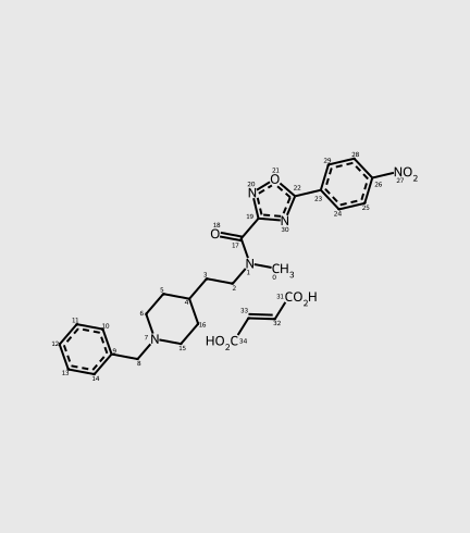 CN(CCC1CCN(Cc2ccccc2)CC1)C(=O)c1noc(-c2ccc([N+](=O)[O-])cc2)n1.O=C(O)/C=C/C(=O)O